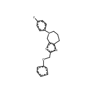 Fc1ccc(N2CCCc3nc(COc4ccccc4)sc3C2)cc1